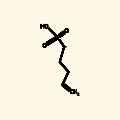 C=CCC[CH]S(=O)(=O)O